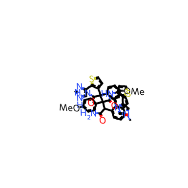 COc1ccc(C(C(N)=O)(c2ccsc2-c2c[nH]cn2)C(C(=O)Nc2ccsc2-c2cn(C)cn2)(c2ccc(OC)cc2)C(C(N)=O)c2cccc3ccccc23)cc1